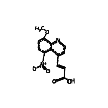 COc1ccc([N+](=O)[O-])c2c(C=CC(=O)O)ccnc12